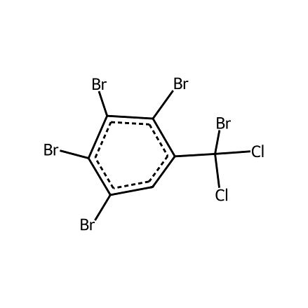 ClC(Cl)(Br)c1cc(Br)c(Br)c(Br)c1Br